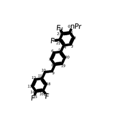 CCCc1ccc(-c2ccc(CCc3ccc(F)c(F)c3)cc2)c(F)c1F